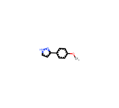 FC(F)(F)Oc1ccc(-c2cc[nH]n2)cc1